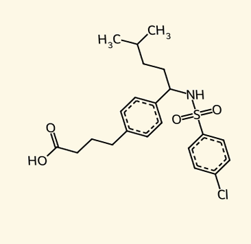 CC(C)CCC(NS(=O)(=O)c1ccc(Cl)cc1)c1ccc(CCCC(=O)O)cc1